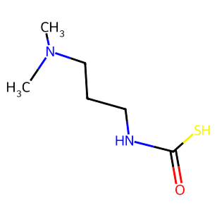 CN(C)CCCNC(=O)S